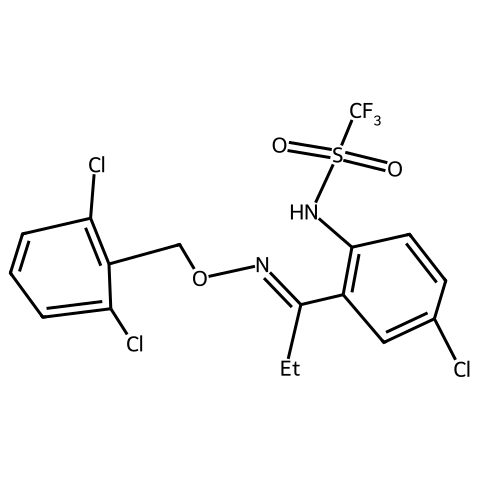 CC/C(=N\OCc1c(Cl)cccc1Cl)c1cc(Cl)ccc1NS(=O)(=O)C(F)(F)F